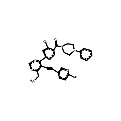 CCc1ncnc(-c2ccc(C(=O)N3CCN(c4ccccc4)CC3)c(Cl)c2)c1C#Cc1ccc(N)nc1